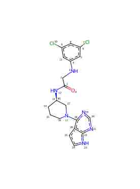 O=C(CNc1cc(Cl)cc(Cl)c1)N[C@@H]1CCCN(c2ncnc3[nH]ccc23)C1